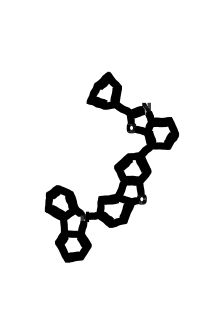 c1ccc(-c2nc3cccc(-c4ccc5c(c4)oc4ccc(-n6c7ccccc7c7ccccc76)cc45)c3o2)cc1